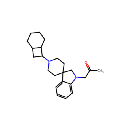 CC(=O)CN1CC2(CCN(C3CC4CCCCC43)CC2)c2ccccc21